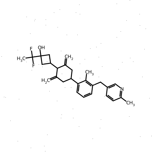 C=C1CC(c2cccc(Cc3ccc(C)nc3)c2C)CC(=C)C1C1CC(O)(C(C)(F)F)C1